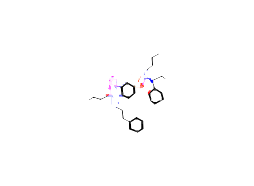 CCCCN(CCCc1ccccc1)c1ccc(S(=O)(=O)N(CCCC)C(CC)c2ccccc2)cc1[N+](=O)[O-]